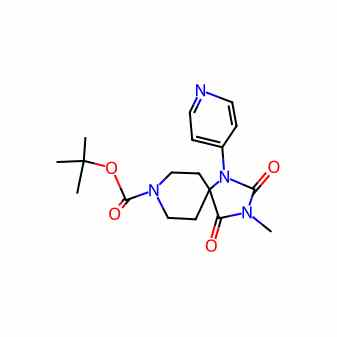 CN1C(=O)N(c2ccncc2)C2(CCN(C(=O)OC(C)(C)C)CC2)C1=O